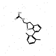 Cc1cccc(C)c1-c1cccc2c1OC(CNC(=O)O)C2